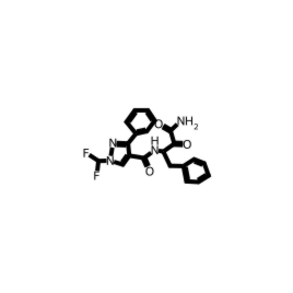 NC(=O)C(=O)C(Cc1ccccc1)NC(=O)c1cn(C(F)F)nc1-c1ccccc1